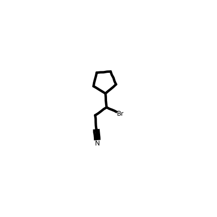 N#CCC(Br)C1CCCC1